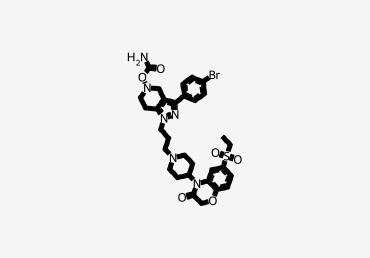 CCS(=O)(=O)c1ccc2c(c1)N(C1CCN(CCCn3nc(-c4ccc(Br)cc4)c4c3CCN(OC(N)=O)C4)CC1)C(=O)CO2